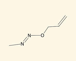 C=CCON=NC